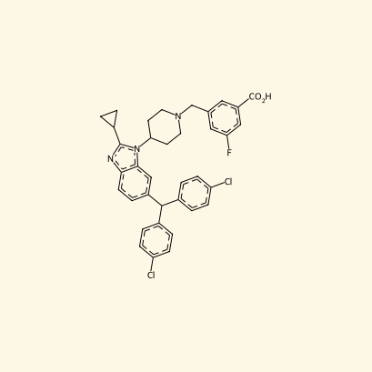 O=C(O)c1cc(F)cc(CN2CCC(n3c(C4CC4)nc4ccc(C(c5ccc(Cl)cc5)c5ccc(Cl)cc5)cc43)CC2)c1